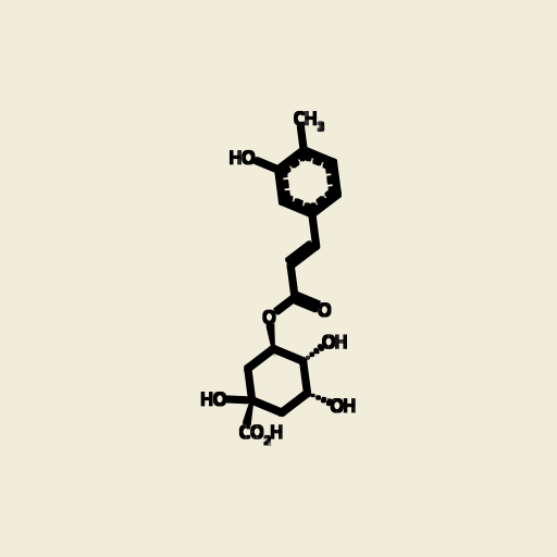 Cc1ccc(/C=C/C(=O)O[C@@H]2C[C@](O)(C(=O)O)C[C@@H](O)[C@H]2O)cc1O